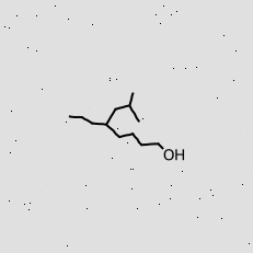 CCCC(CCCCO)CC(C)C